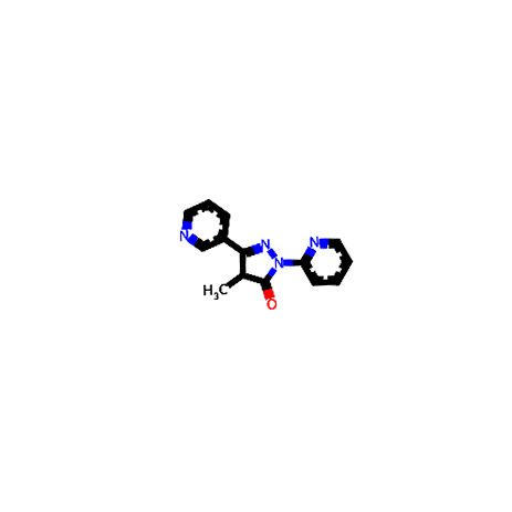 CC1C(=O)N(c2ccccn2)N=C1c1cccnc1